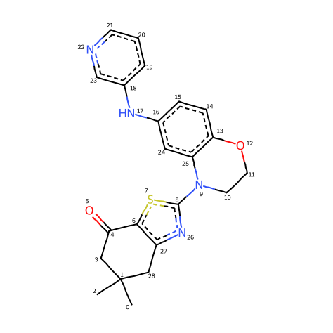 CC1(C)CC(=O)c2sc(N3CCOc4ccc(Nc5cccnc5)cc43)nc2C1